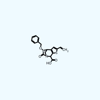 C=Cc1cc2c(s1)C(C(=O)O)N1CC2N(OCc2ccccc2)C1=O